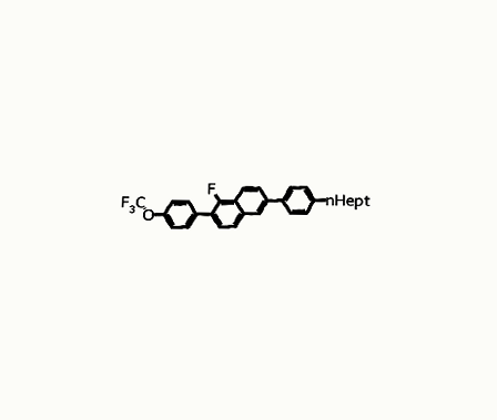 CCCCCCCc1ccc(-c2ccc3c(F)c(-c4ccc(OC(F)(F)F)cc4)ccc3c2)cc1